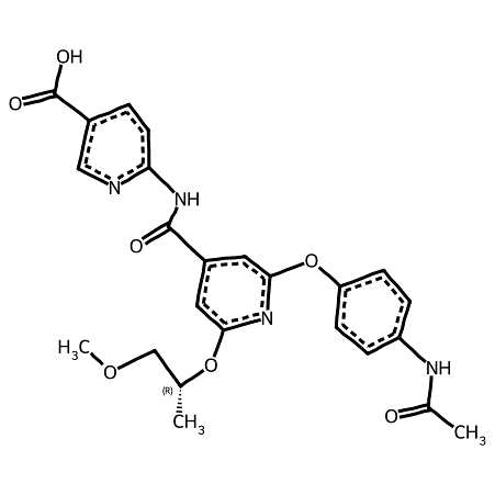 COC[C@@H](C)Oc1cc(C(=O)Nc2ccc(C(=O)O)cn2)cc(Oc2ccc(NC(C)=O)cc2)n1